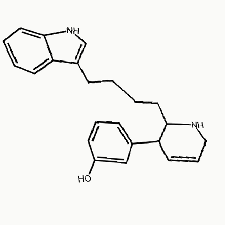 Oc1cccc(C2C=CCNC2CCCCc2c[nH]c3ccccc23)c1